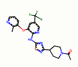 CC(=O)N1CCC(c2nsc(Nc3ncc(C(F)(F)F)cc3Oc3cccnc3C)n2)CC1